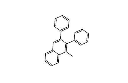 Cc1c(-c2ccccc2)c(-c2ccccc2)cc2ccccc12